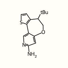 CC(C)(C)C1COc2cc(N)ncc2-c2sccc21